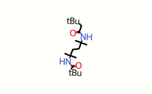 CC(C)(C)CC(=O)NC(C)(C)CCC(C)(C)NC(=O)C(C)(C)C